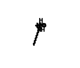 CCCCCCCCCCCCNc1cc(C)nc(Nc2ccccc2)n1